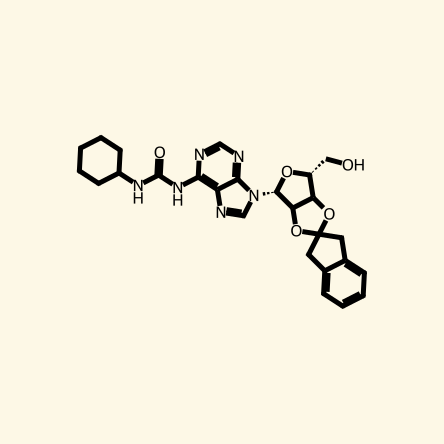 O=C(Nc1ncnc2c1ncn2[C@@H]1O[C@H](CO)C2OC3(Cc4ccccc4C3)OC21)NC1CCCCC1